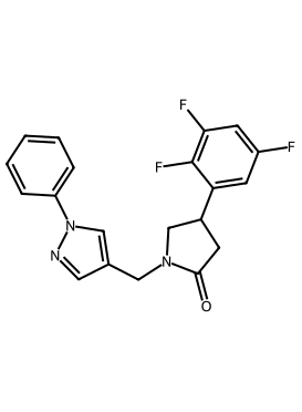 O=C1CC(c2cc(F)cc(F)c2F)CN1Cc1cnn(-c2ccccc2)c1